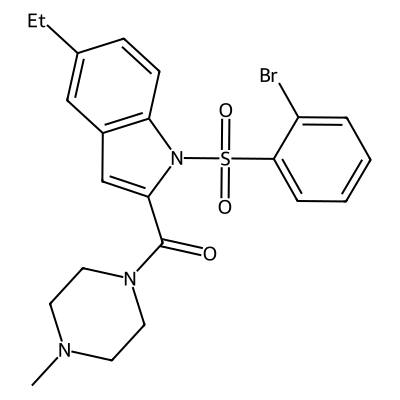 CCc1ccc2c(c1)cc(C(=O)N1CCN(C)CC1)n2S(=O)(=O)c1ccccc1Br